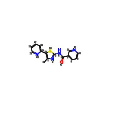 Cc1nc(NC(=O)c2cccnc2)sc1-c1ccccn1